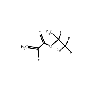 [2H]C(F)(F)C(F)(OC(=O)C(=C)F)C(F)(F)F